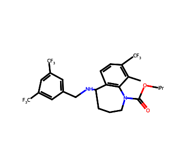 Cc1c(C(F)(F)F)ccc2c1N(C(=O)OC(C)C)CCCC2NCc1cc(C(F)(F)F)cc(C(F)(F)F)c1